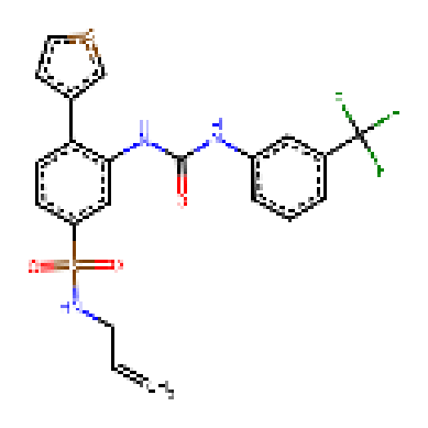 C=CCNS(=O)(=O)c1ccc(-c2ccsc2)c(NC(=O)Nc2cccc(C(F)(F)F)c2)c1